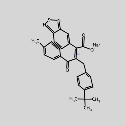 Cc1ccc(C(=O)/C(Cc2ccc(C(C)(C)C)cc2)=C(/C(=O)[O-])c2ccc3nsnc3c2)cc1.[Na+]